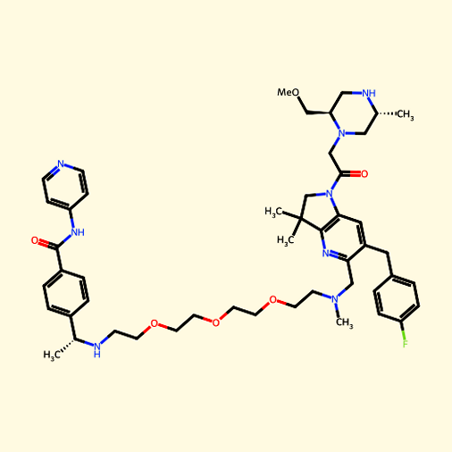 COC[C@H]1CN[C@H](C)CN1CC(=O)N1CC(C)(C)c2nc(CN(C)CCOCCOCCOCCN[C@H](C)c3ccc(C(=O)Nc4ccncc4)cc3)c(Cc3ccc(F)cc3)cc21